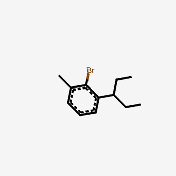 CCC(CC)c1cccc(C)c1Br